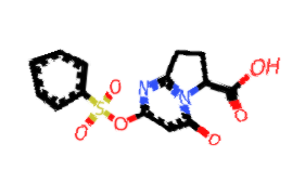 O=C(O)C1CCc2nc(OS(=O)(=O)c3ccccc3)cc(=O)n21